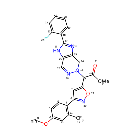 CCCOc1ccc(-c2cc(C(C(=O)OC)N3Cc4nc(-c5ccccc5F)[nH]c4C=N3)on2)c(C(F)(F)F)c1